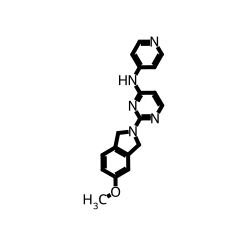 COc1ccc2c(c1)CN(c1nccc(Nc3ccncc3)n1)C2